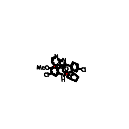 COc1cc(Cl)c(NC(=O)N2C3CCC2CN(Cc2c(-c4ccc(Cl)cc4)nc4ncccn24)C3)cc1Cl